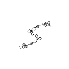 CC1(OC(=O)OCCCCOCc2ccc(-n3c4ccccc4c4ccc(-c5ccc6c7ccccc7n(-c7ccc(COCCCCOC(=O)OC8(C)CCCCC8)cc7)c6c5)cc43)cc2)CCCCC1